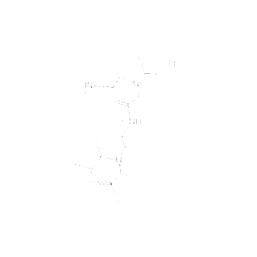 BCC(=O)N(CCNC)CC(=O)NCCN(CC(C)=O)C(=O)CC